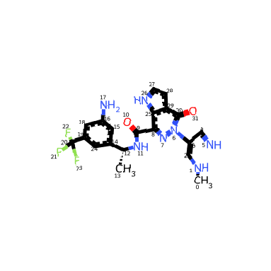 CN/C=C(\C=N)n1nc(C(=O)N[C@H](C)c2cc(N)cc(C(F)(F)F)c2)c2[nH]ccc2c1=O